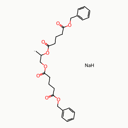 [CH2]C(COC(=O)CCCC(=O)OCc1ccccc1)OC(=O)CCCC(=O)OCc1ccccc1.[NaH]